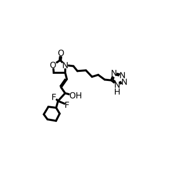 O=C1OCC(C=CC(O)C(F)(F)C2CCCCC2)N1CCCCCCc1nnn[nH]1